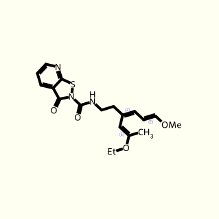 CCO/C(C)=C/C(=C\C=C\OC)CCNC(=O)n1sc2ncccc2c1=O